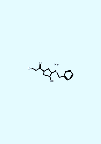 CC(C)(C)OC(=O)N1CC(O)C(OCc2ccccc2)C1.[Na]